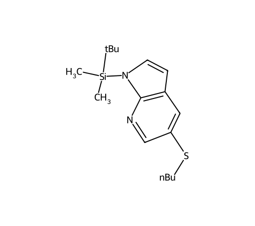 CCCCSc1cnc2c(ccn2[Si](C)(C)C(C)(C)C)c1